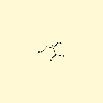 CCCC[C@@H](C)C(=O)CC